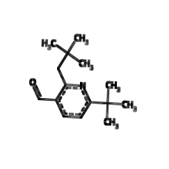 CC(C)(C)Cc1nc(C(C)(C)C)ccc1C=O